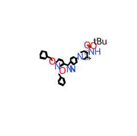 C[C@H]1CN(c2ccc3c(-c4ccc(OCc5ccccc5)nc4OCc4ccccc4)nn(C)c3c2)CC[C@@H]1NC(=O)OC(C)(C)C